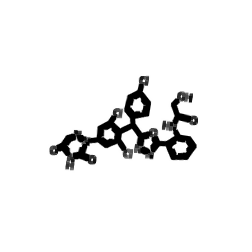 O=C(CO)Nc1ccccc1-c1nnc(C(c2ccc(Cl)cc2)c2c(Cl)cc(-n3ncc(=O)[nH]c3=O)cc2Cl)o1